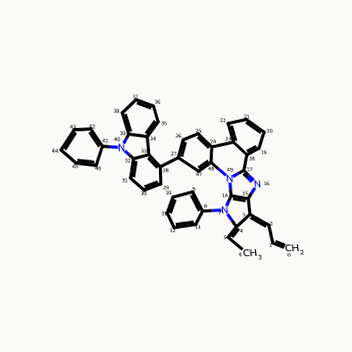 C=C/C=c1\c(=C/C)n(-c2ccccc2)c2c1nc1c3ccccc3c3ccc(-c4cccc5c4c4ccccc4n5-c4ccccc4)cc3n12